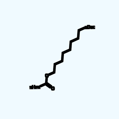 [CH2]CCCCCC(=O)OCCCCCCCCCCCCCCCCCC